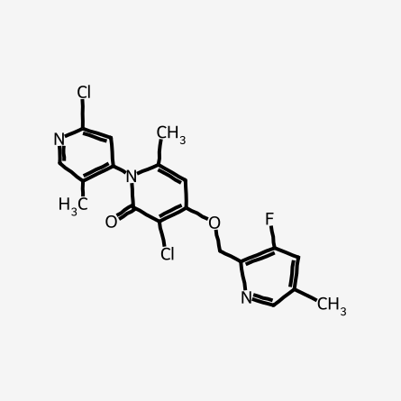 Cc1cnc(COc2cc(C)n(-c3cc(Cl)ncc3C)c(=O)c2Cl)c(F)c1